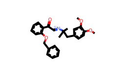 COc1ccc(CC(C)(C)/N=C/C(=O)c2ccccc2OCc2ccccc2)cc1OC